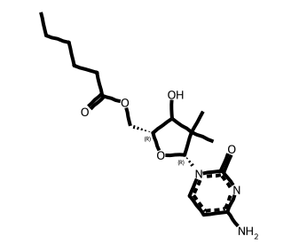 CCCCCC(=O)OC[C@H]1O[C@@H](n2ccc(N)nc2=O)C(C)(C)C1O